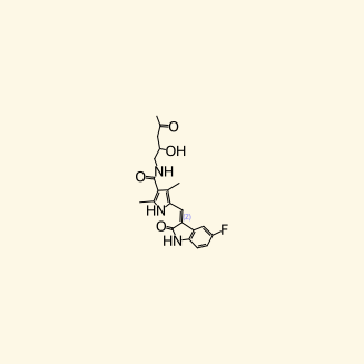 CC(=O)CC(O)CNC(=O)c1c(C)[nH]c(/C=C2\C(=O)Nc3ccc(F)cc32)c1C